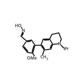 COc1ccc(C=NO)cc1-c1cc2c(cc1C)N(C(C)C)CCC2